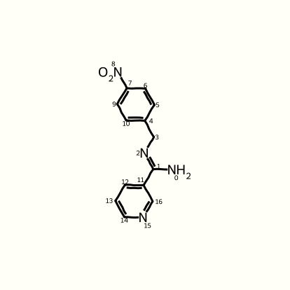 NC(=NCc1ccc([N+](=O)[O-])cc1)c1cccnc1